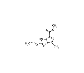 CCOc1nc2c(C)sc(C(=O)OC)c2[nH]1